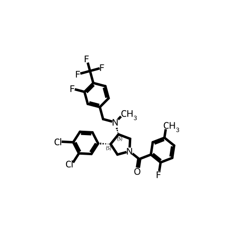 Cc1ccc(F)c(C(=O)N2C[C@H](c3ccc(Cl)c(Cl)c3)[C@H](N(C)Cc3ccc(C(F)(F)F)c(F)c3)C2)c1